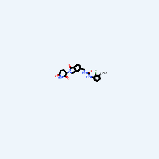 COc1cccc(NC(=O)NCc2ccc3c(c2)CN(C2CCC(=O)NC2=O)C3=O)c1Cl